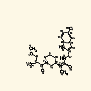 COCC(C)C(=O)N1CCC[C@@H](N(C)C(=O)NCc2cc3cc(Cl)ccc3[nH]2)C1